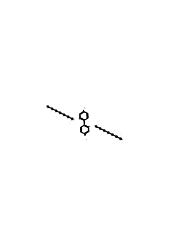 Nc1ccc(-c2ccc(N)cc2OC(F)(F)C(F)(F)C(F)(F)C(F)(F)C(F)(F)C(F)(F)C(F)(F)C(F)(F)F)c(OC(F)(F)C(F)(F)C(F)(F)C(F)(F)C(F)(F)C(F)(F)C(F)(F)C(F)(F)F)c1